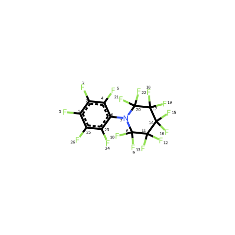 Fc1c(F)c(F)c(N2C(F)(F)C(F)(F)C(F)(F)C(F)(F)C2(F)F)c(F)c1F